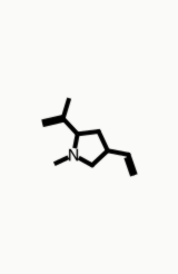 C=CC1CC(C(=C)C)N(C)C1